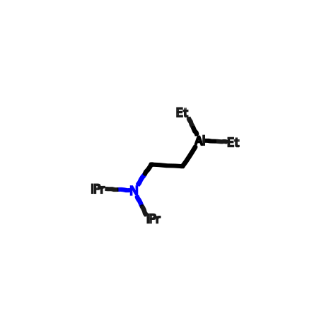 C[CH2][Al]([CH2]C)[CH2]CN(C(C)C)C(C)C